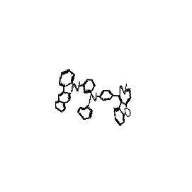 c1ccc(N(c2ccc(-c3nccc4oc5ccccc5c34)cc2)c2cccc(-n3c4ccccc4c4cc5ccccc5cc43)c2)cc1